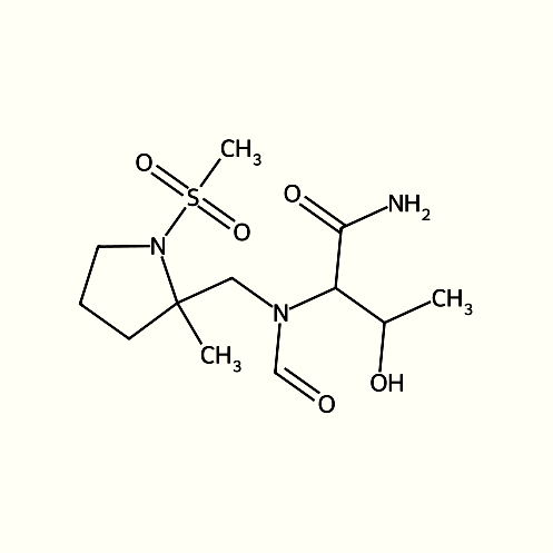 CC(O)C(C(N)=O)N(C=O)CC1(C)CCCN1S(C)(=O)=O